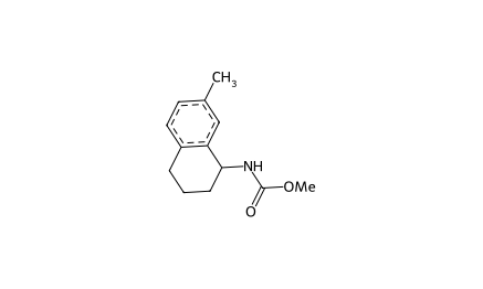 COC(=O)NC1CCCc2ccc(C)cc21